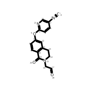 [C-]#[N+]c1ccc(Oc2ccc3c(c2)CCN(CC=O)C3=O)nc1